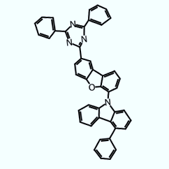 c1ccc(-c2nc(-c3ccccc3)nc(-c3ccc4oc5c(-n6c7ccccc7c7c(-c8ccccc8)cccc76)cccc5c4c3)n2)cc1